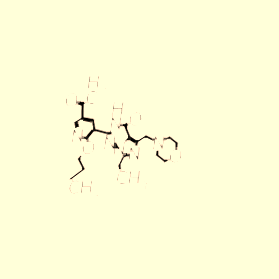 CCCCOc1ncc(C(C)=O)cc1-c1nn2c(CC)nc(CN3CCOCC3)c2c(=O)[nH]1